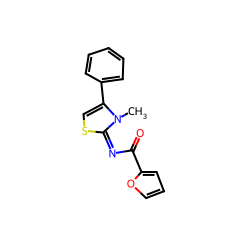 Cn1c(-c2ccccc2)cs/c1=N/C(=O)c1ccco1